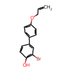 C=CCOc1ccc(-c2ccc(O)c(Br)c2)cc1